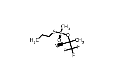 CCCSP(C)(=O)OC(C)(C#N)C(F)(F)F